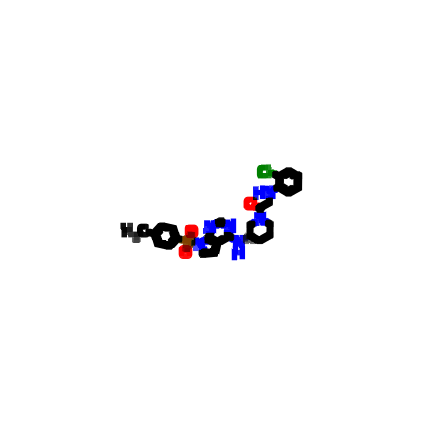 Cc1ccc(S(=O)(=O)n2ccc3c(N[C@H]4CCCN(C(=O)CNc5ccccc5Cl)C4)ncnc32)cc1